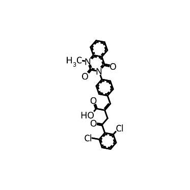 Cn1c(=O)n(-c2ccc(C=C(CC(=O)c3c(Cl)cccc3Cl)C(=O)O)cc2)c(=O)c2ccccc21